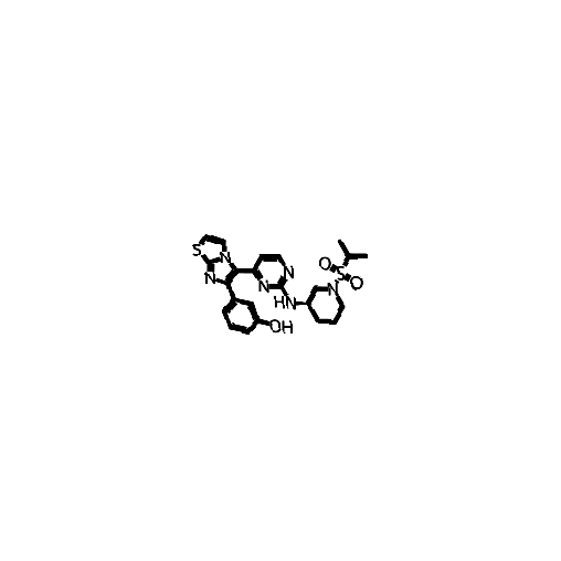 CC(C)S(=O)(=O)N1CCC[C@@H](Nc2nccc(-c3c(-c4cccc(O)c4)nc4sccn34)n2)C1